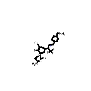 NCc1ccc(/C=C/C(c2cc(Cl)c(F)c(-n3ccc(N)nc3=O)c2)C(F)(F)F)cc1